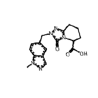 Cn1ncc2cc(Cn3nc4n(c3=O)C(C(=O)O)CCC4)ccc21